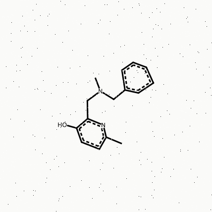 Cc1ccc(O)c(CN(C)Cc2ccccc2)n1